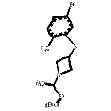 CC(C)(C)OC(O)N1CC(Sc2cc(Br)ccc2C(F)(F)F)C1